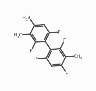 Bc1cc(F)c(-c2c(F)cc(F)c(C)c2F)c(F)c1C